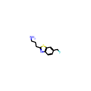 NCCCc1nc2ccc(CF)cc2s1